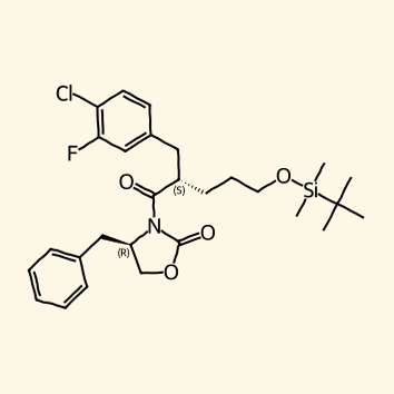 CC(C)(C)[Si](C)(C)OCCC[C@@H](Cc1ccc(Cl)c(F)c1)C(=O)N1C(=O)OC[C@H]1Cc1ccccc1